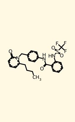 CCCCc1cccc(=O)n1Cc1ccc(NC(=O)c2ccccc2NS(=O)(=O)C(F)(F)F)cc1